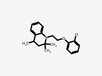 CC1CC(C)(C)N(CCOc2ccccc2Cl)c2ccccc21